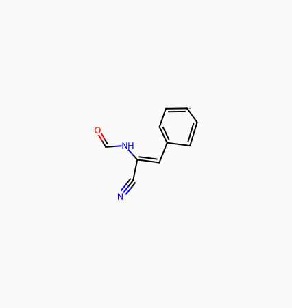 N#CC(=Cc1cc[c]cc1)NC=O